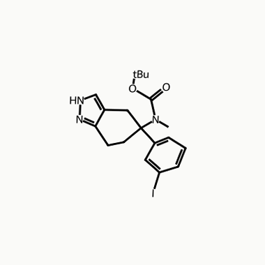 CN(C(=O)OC(C)(C)C)C1(c2cccc(I)c2)CCc2n[nH]cc2C1